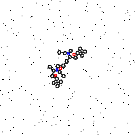 c1ccc(-c2ccc(N(c3ccccc3)c3cc(-c4ccc(-c5ccc6oc7c(N(c8ccc(-c9ccccc9)cc8)c8cc(-c9ccccc9)cc(-c9cccc%10c9oc9ccc%11c(c9%10)-c9ccccc9C%119c%10ccccc%10-c%10ccccc%109)c8)cccc7c6c5)cc4)cc(-c4cccc5c4oc4ccc6c(c45)-c4ccccc4C64c5ccccc5-c5ccccc54)c3)cc2)cc1